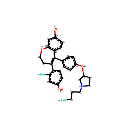 Oc1ccc(C2=C(c3ccc(O[C@H]4CCN(CCCF)C4)cc3)c3ccc(O)cc3OCC2)c(F)c1